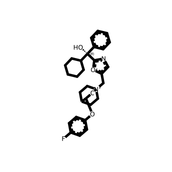 O[C@](c1ccccc1)(c1ncc(C[N+]23CCC(CC2)C(Oc2ccc(F)cc2)C3)o1)C1CCCCC1